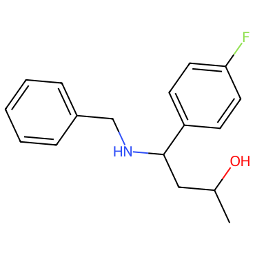 CC(O)CC(NCc1ccccc1)c1ccc(F)cc1